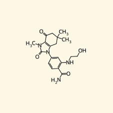 Cn1c2c(n(-c3ccc(C(N)=O)c(NCCO)c3)c1=O)CC(C)(C)CC2=O